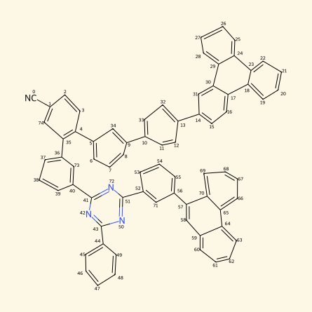 N#Cc1ccc(-c2cccc(-c3ccc(-c4ccc5c6ccccc6c6ccccc6c5c4)cc3)c2)c(-c2cccc(-c3nc(-c4ccccc4)nc(-c4cccc(-c5cc6ccccc6c6ccccc56)c4)n3)c2)c1